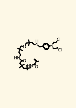 C=C(C)C(=O)NCC(C)(C)CC(C)(C)CC(=O)NCCC(C)(C)COCC(C)(C)CCNCc1ccc(N(CCCl)CCCl)cc1